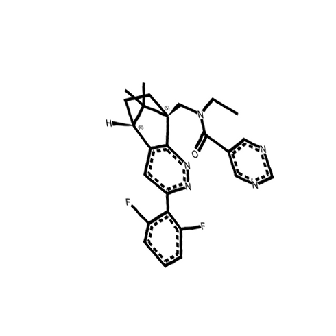 CCN(C[C@@]12CC[C@@H](c3cc(-c4c(F)cccc4F)nnc31)C2(C)C)C(=O)c1cncnc1